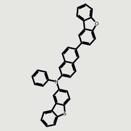 c1ccc(N(c2ccc3cc(-c4ccc5oc6ccccc6c5c4)ccc3c2)c2ccc3sc4ccccc4c3c2)cc1